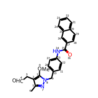 COc1c(CC=O)c(C)nn1Cc1ccc(NC(=O)c2ccc3ccccc3c2)cc1